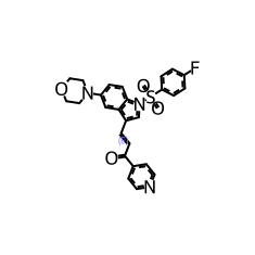 O=C(/C=C/c1cn(S(=O)(=O)c2ccc(F)cc2)c2ccc(N3CCOCC3)cc12)c1ccncc1